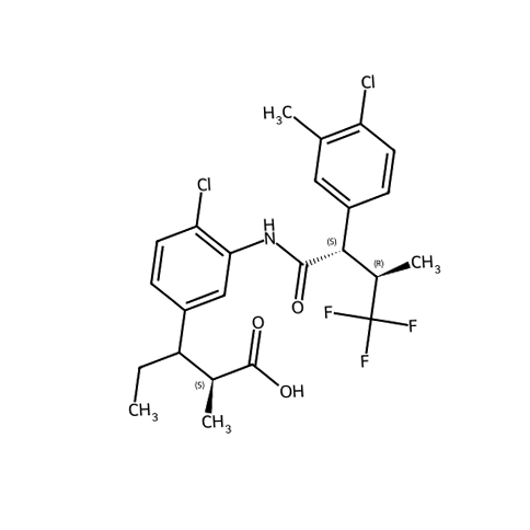 CCC(c1ccc(Cl)c(NC(=O)[C@H](c2ccc(Cl)c(C)c2)[C@@H](C)C(F)(F)F)c1)[C@H](C)C(=O)O